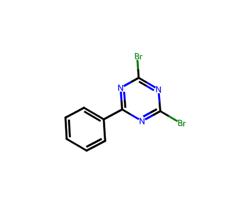 Brc1nc(Br)nc(-c2ccccc2)n1